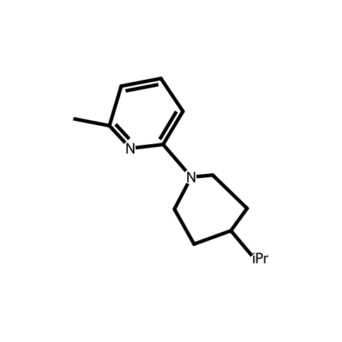 Cc1cccc(N2CCC(C(C)C)CC2)n1